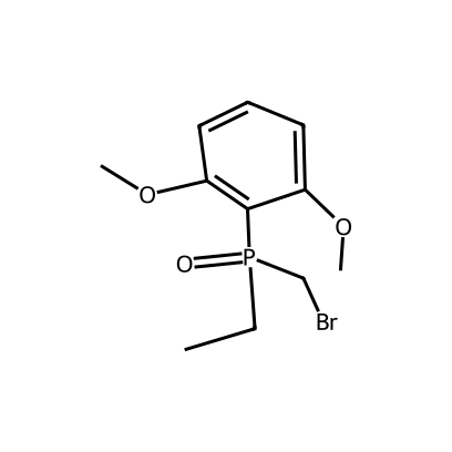 CCP(=O)(CBr)c1c(OC)cccc1OC